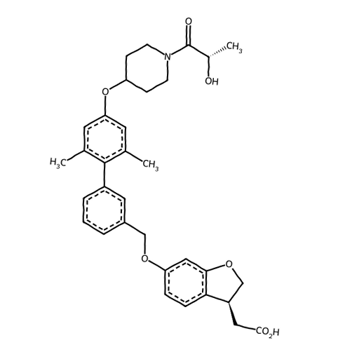 Cc1cc(OC2CCN(C(=O)[C@H](C)O)CC2)cc(C)c1-c1cccc(COc2ccc3c(c2)OC[C@H]3CC(=O)O)c1